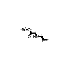 CC=CNCC(=O)OC(C)(C)C